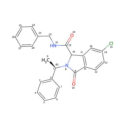 C[C@H](c1ccccc1)N1C(=O)c2ccc(Cl)cc2C1C(=O)NCc1ccccc1